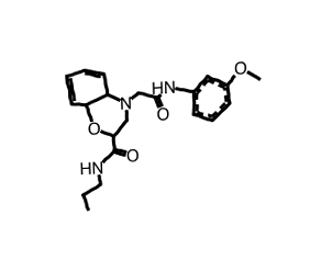 CCCNC(=O)C1CN(CC(=O)Nc2cccc(OC)c2)C2C=CC=CC2O1